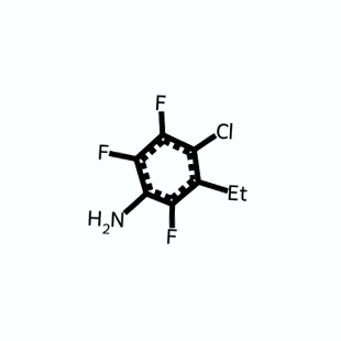 CCc1c(F)c(N)c(F)c(F)c1Cl